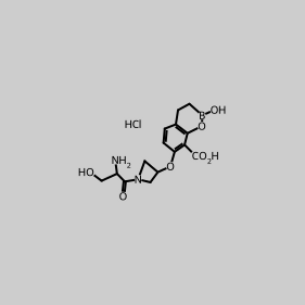 Cl.NC(CO)C(=O)N1CC(Oc2ccc3c(c2C(=O)O)OB(O)CC3)C1